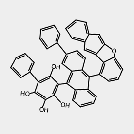 Oc1c(O)c(-c2ccccc2)c(O)c(-c2c3ccccc3c(-c3cccc4oc5cc6ccccc6cc5c34)c3ccc(-c4ccccc4)cc23)c1O